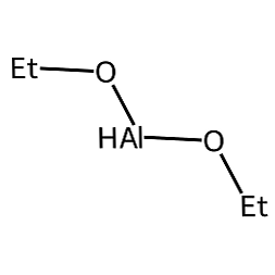 CC[O][AlH][O]CC